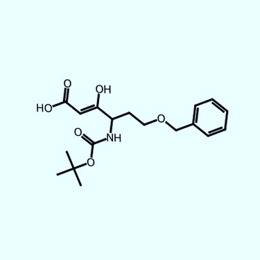 CC(C)(C)OC(=O)NC(CCOCc1ccccc1)C(O)=CC(=O)O